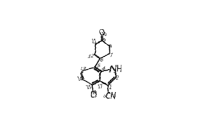 N#Cc1c[nH]c2c(C3CCC(=O)CC3)ccc(Cl)c12